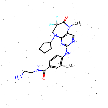 COc1cc(C(=O)NCCN)ccc1Nc1ncc2c(n1)N(C1CCCC1)CC(F)(F)C(=O)N2C